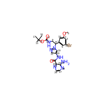 COc1cc(Br)cc(C(CNC(=O)OC(C)(C)C)n2cc(NC(=O)c3nccnc3N)cn2)c1